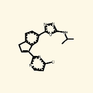 CC(C)Nc1nnc(-c2ccc3c(c2)C(c2nccc(Cl)n2)=CC3)o1